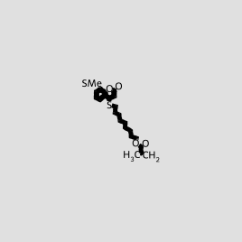 C=C(C)C(=O)OCCCCCCCCCSc1cc(=O)oc2c(SC)cccc12